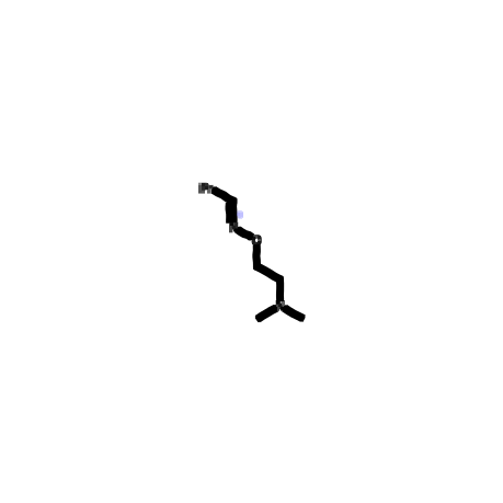 CC(C)/C=N/OCCN(C)C